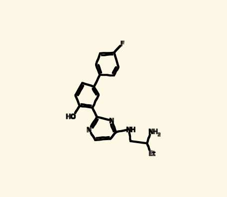 CCC(N)CNc1ccnc(-c2cc(-c3ccc(F)cc3)ccc2O)n1